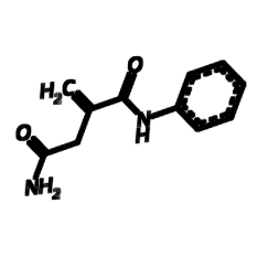 C=C(CC(N)=O)C(=O)Nc1ccccc1